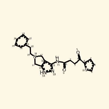 O=C(CCC(=O)c1cccs1)Nc1n[nH]c2c1CN(CCc1ccccc1)C2